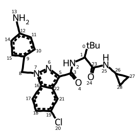 CC(C)(C)C(NC(=O)c1nn(Cc2ccc(N)cc2)c2ccc(Cl)cc12)C(=O)NC1CC1